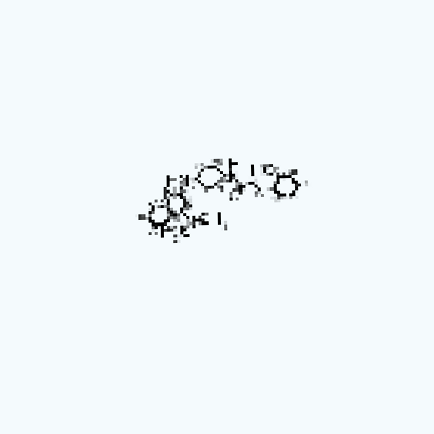 CN(C)c1nc(N[C@H]2CC[C@@H](NC(=O)CCc3ccccc3O)CC2)nc2ccccc12